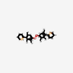 CC1=C(c2ccccp2)C2(C)CC1C(OOC1=C(C)C3(C)CC1C(C)=C3c1ccccp1)=C2C